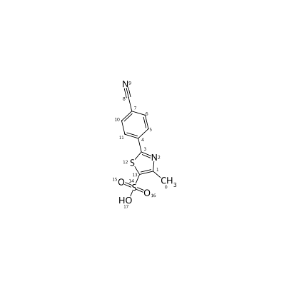 Cc1nc(-c2ccc(C#N)cc2)sc1S(=O)(=O)O